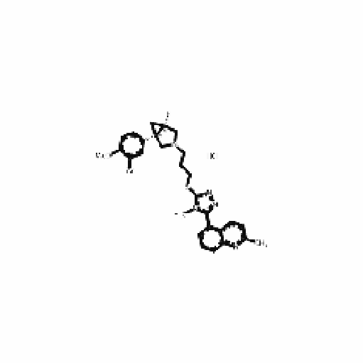 COc1ccc([C@]23C[C@H]2CN(CCCSc2nnc(-c4cccc5nc(C)ccc45)n2C)C3)cc1C(C)=O.Cl